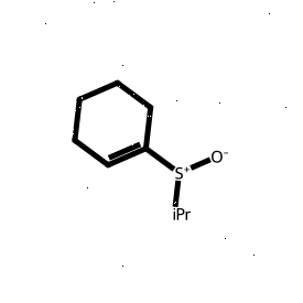 CC(C)[S+]([O-])C1=CCCCC1